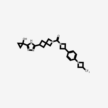 O=C(N1CC(c2ccc(N3CC(C(F)(F)F)C3)cc2)C1)N1CC2(CC(c3nnc(C4(O)CC4)[nH]3)C2)C1